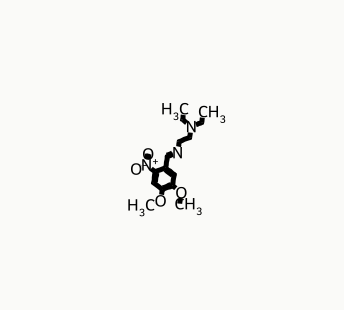 CCN(CC)CCN=Cc1cc(OC)c(OC)cc1[N+](=O)[O-]